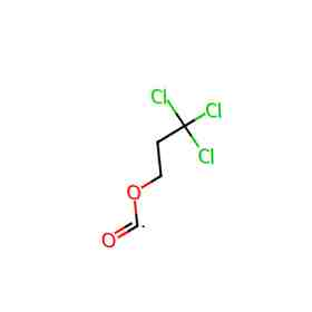 O=[C]OCCC(Cl)(Cl)Cl